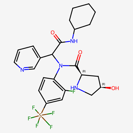 O=C(NC1CCCCC1)C(c1cccnc1)N(C(=O)[C@H]1C[C@@H](O)CN1)c1ccc(S(F)(F)(F)(F)F)cc1F